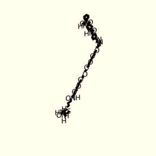 O=C(CCCC[C@@H]1SC[C@@H]2NC(=O)N[C@@H]21)NCCOCCOCCOCCOCCOCCOCCOCCOCCn1cc(-c2ccc(NC(=O)N3CCC4(CC3)NC(=O)N(c3ccccc3)C4=O)cc2)nn1